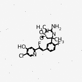 CN1C(N)=NC(C)(c2cc(C=C(F)c3cc(O)c(Cl)cn3)ccc2F)CS1(=O)=O